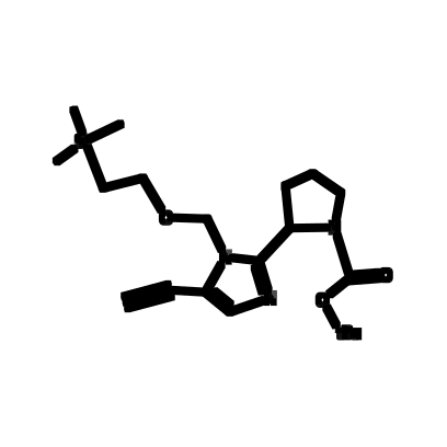 C#Cc1cnc(C2CCCN2C(=O)OC(C)(C)C)n1COCC[Si](C)(C)C